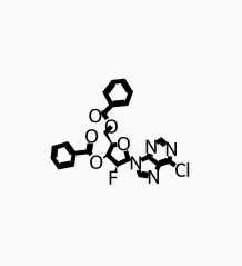 O=C(OC[C@H]1O[C@@H](n2cnc3c(Cl)ncnc32)[C@H](F)[C@@H]1OC(=O)c1ccccc1)c1ccccc1